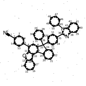 N#Cc1ccc(-c2cc3c(c4c2oc2ccccc24)-c2ccccc2C3(c2ccccc2)c2ccc(-c3nc4ccccc4n3-c3ccccc3)cc2)cc1